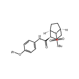 CCCCS(=O)(=O)N1[C@H]2CC[C@@H]1[C@H](C(=O)Nc1ccc(OC(C)C)cc1)CC2